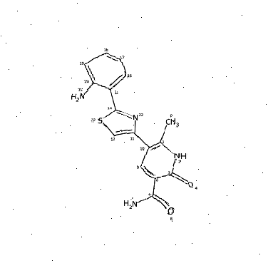 Cc1[nH]c(=O)c(C(N)=O)cc1-c1csc(-c2ccccc2N)n1